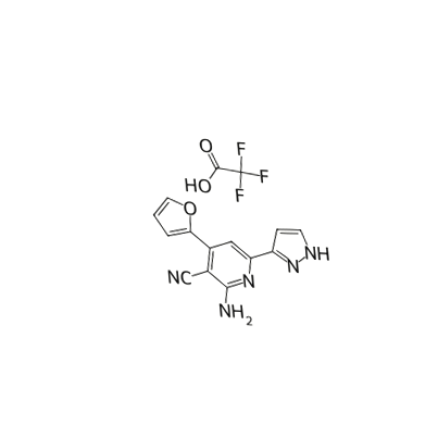 N#Cc1c(-c2ccco2)cc(-c2cc[nH]n2)nc1N.O=C(O)C(F)(F)F